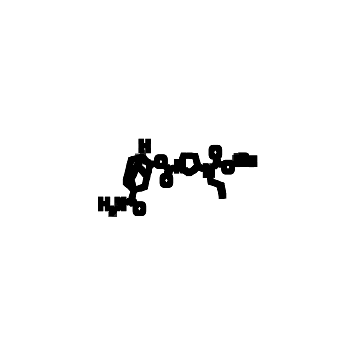 C=CCN(C(=O)OC(C)(C)C)C1CCN(C(=O)OC2C3CC4C[C@@H]2CC(C(N)=O)(C4)C3)C1